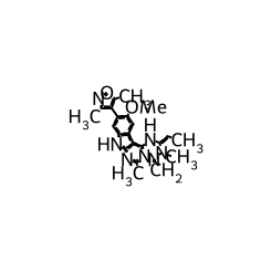 C=NN(C)/C(=C\C)Nc1nc(C)nc2[nH]c3cc(-c4c(C)noc4C)c(OC)cc3c12